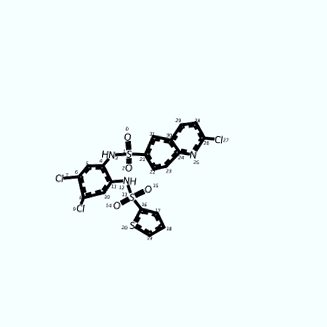 O=S(=O)(Nc1cc(Cl)c(Cl)cc1NS(=O)(=O)c1cccs1)c1ccc2nc(Cl)ccc2c1